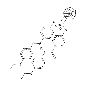 CCOc1ccc(OC(=O)c2ccc(OC(=O)[C]34[CH]5[CH]6[CH]7[CH]3[Fe]6754389%10[CH]4[CH]3[CH]8[C]9(C(=O)Oc3ccc(C(=O)Oc5ccc(OCC)cc5)cc3)[CH]4%10)cc2)cc1